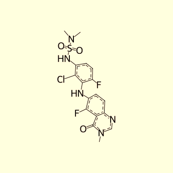 CN(C)S(=O)(=O)Nc1ccc(F)c(Nc2ccc3ncn(C)c(=O)c3c2F)c1Cl